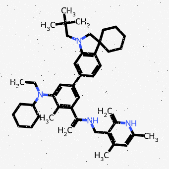 C=C1NC(C)=CC(C)=C1CNC(=C)c1cc(-c2ccc3c(c2)N(CC(C)(C)C)CC32CCCCC2)cc(N(CC)C2CCCCC2)c1C